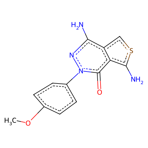 COc1ccc(-n2nc(N)c3csc(N)c3c2=O)cc1